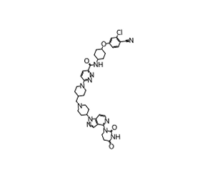 N#Cc1ccc(OC2CCC(NC(=O)c3ccc(N4CCC(CN5CCC(n6ncc7c(N8CCC(=O)NC8=O)nccc76)CC5)CC4)nn3)CC2)cc1Cl